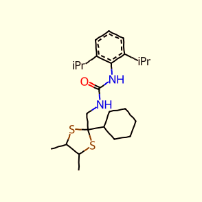 CC(C)c1cccc(C(C)C)c1NC(=O)NCC1(C2CCCCC2)SC(C)C(C)S1